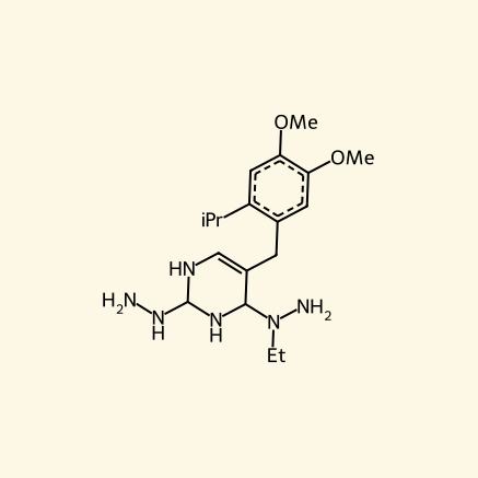 CCN(N)C1NC(NN)NC=C1Cc1cc(OC)c(OC)cc1C(C)C